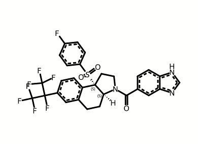 O=C(c1ccc2[nH]cnc2c1)N1CC[C@]2(S(=O)(=O)c3ccc(F)cc3)c3ccc(C(F)(C(F)(F)F)C(F)(F)F)cc3CC[C@H]12